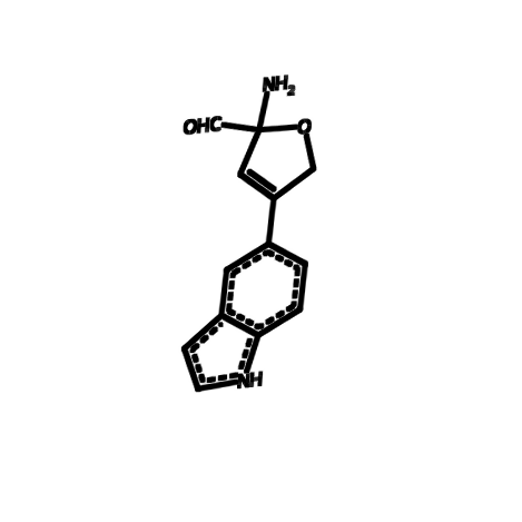 NC1(C=O)C=C(c2ccc3[nH]ccc3c2)CO1